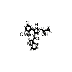 COc1ccc(Cl)cc1C1NN(CC(O)C2CC2)C=C1NC(=O)c1cnn2cccnc12